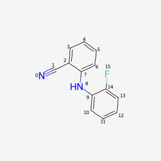 N#Cc1ccccc1Nc1ccccc1F